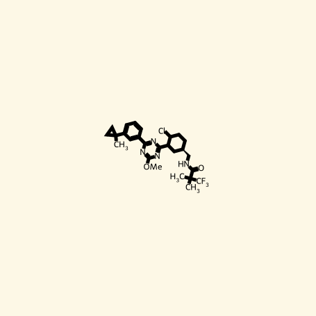 COc1nc(-c2cccc(C3(C)CC3)c2)nc(C2C[C@H](CNC(=O)C(C)(C)C(F)(F)F)CCC2Cl)n1